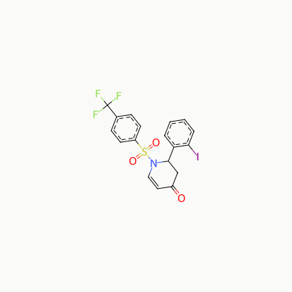 O=C1C=CN(S(=O)(=O)c2ccc(C(F)(F)F)cc2)C(c2ccccc2I)C1